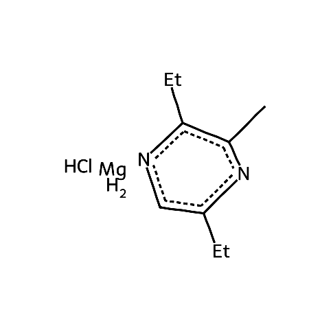 CCc1cnc(CC)c(C)n1.Cl.[MgH2]